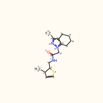 CC1C=CSC1CNC(=O)Cn1nc(C(F)(F)F)c2c1CCCC2